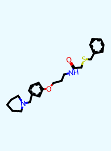 O=C(CSCc1ccccc1)NCCCOc1cccc(CN2CCCCC2)c1